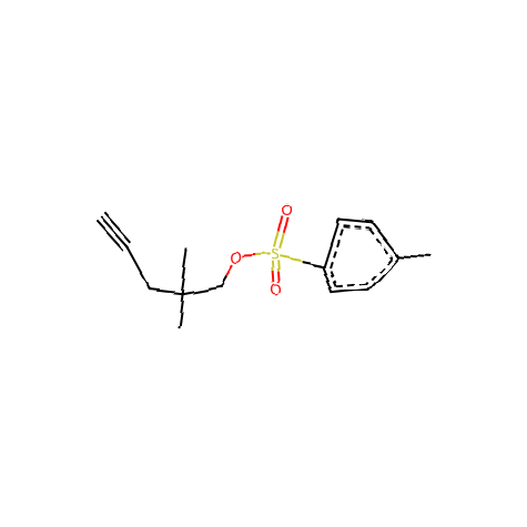 C#CCC(C)(C)COS(=O)(=O)c1ccc(C)cc1